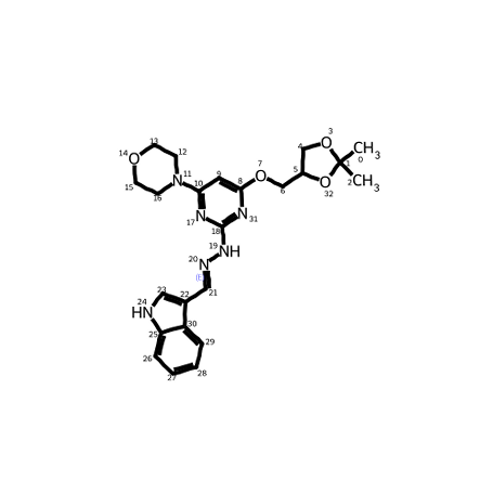 CC1(C)OCC(COc2cc(N3CCOCC3)nc(N/N=C/c3c[nH]c4ccccc34)n2)O1